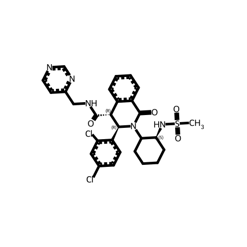 CS(=O)(=O)N[C@H]1CCCCC1N1C(=O)c2ccccc2[C@@H](C(=O)NCc2ccncn2)[C@@H]1c1ccc(Cl)cc1Cl